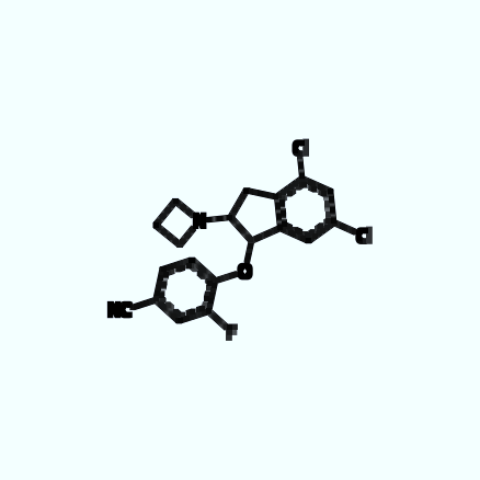 N#Cc1ccc(OC2c3cc(Cl)cc(Cl)c3CC2N2CCC2)c(F)c1